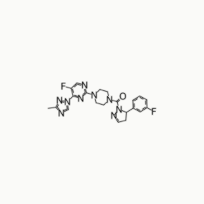 Cc1ncn(-c2nc(N3CCN(C(=O)N4N=CCC4c4cccc(F)c4)CC3)ncc2F)n1